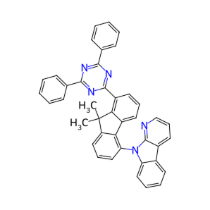 CC1(C)c2cccc(-n3c4ccccc4c4cccnc43)c2-c2cccc(-c3nc(-c4ccccc4)nc(-c4ccccc4)n3)c21